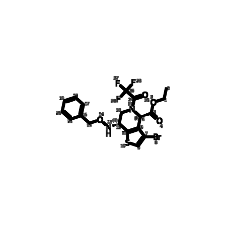 CCOC(=O)[C@H]1c2c(Br)csc2[C@H](NOCc2ccccc2)CN1C(=O)C(F)(F)F